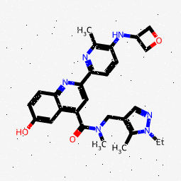 CCn1ncc(CN(C)C(=O)c2cc(-c3ccc(NC4COC4)c(C)n3)nc3ccc(O)cc23)c1C